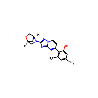 Cc1cc(C)c(-c2ccn3nc(N4C[C@@H]5C[C@H]4CO5)nc3n2)c(O)c1